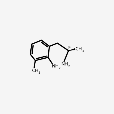 Cc1cccc(C[C@@H](C)N)c1N